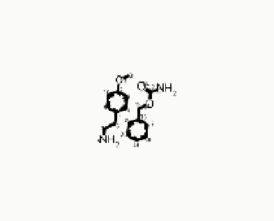 COc1ccc(CCN)cc1.NC(=O)OCc1ccccc1